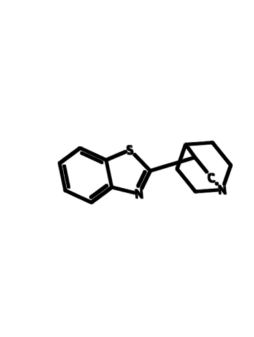 c1ccc2sc(C3CN4CCC3CC4)nc2c1